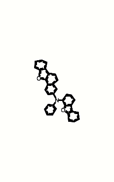 c1ccc(N(c2ccc3c(ccc4c5ccccc5oc34)c2)c2cccc3c2oc2ccccc23)cc1